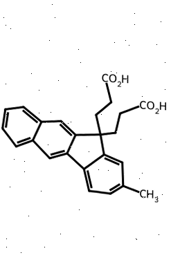 Cc1ccc2c(c1)C(CCC(=O)O)(CCC(=O)O)c1cc3ccccc3cc1-2